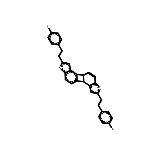 Fc1ccc(CCc2cc3c(s2)C=CC2c4c(ccc5sc(CCc6ccc(F)cc6)cc45)C32)cc1